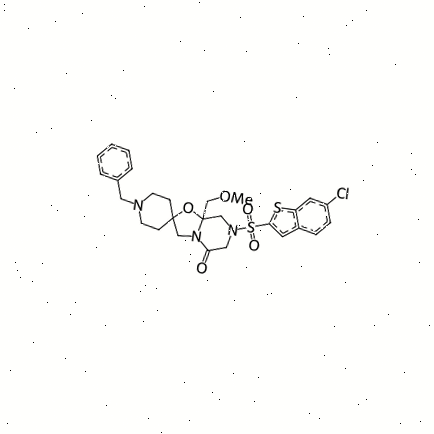 COCC12CN(S(=O)(=O)c3cc4ccc(Cl)cc4s3)CC(=O)N1CC1(CCN(Cc3ccccc3)CC1)O2